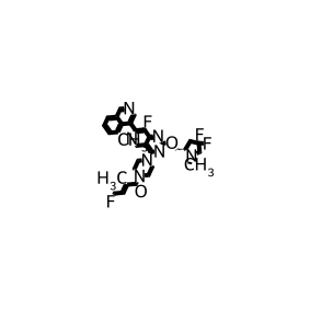 C/C(=C\CF)C(=O)N1CCN(c2nc(OC[C@@H]3CC(F)(F)CN3C)nc3c(F)c(-c4cncc5cccc(C)c45)ncc23)CC1